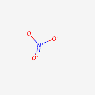 [O-][NH+]([O-])[O-]